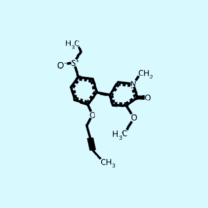 CC#CCOc1ccc([S+]([O-])CC)cc1-c1cc(OC)c(=O)n(C)c1